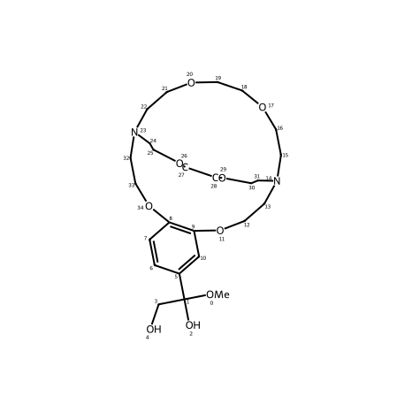 COC(O)(CO)c1ccc2c(c1)OCCN1CCOCCOCCN(CCOCCOCC1)CCO2